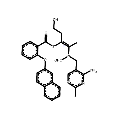 C/C(=C(\CCO)SC(=O)c1ccccc1Oc1ccc2ccccc2c1)N(C=O)Cc1cnc(C)nc1N